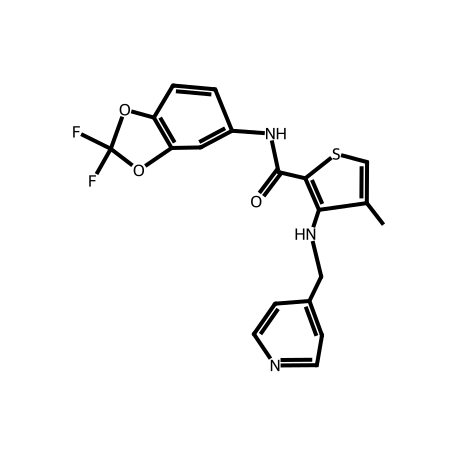 Cc1csc(C(=O)Nc2ccc3c(c2)OC(F)(F)O3)c1NCc1ccncc1